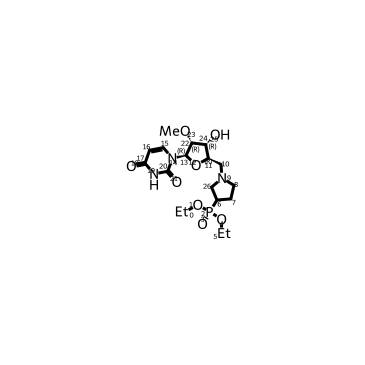 CCOP(=O)(OCC)C1CCN(C[C@H]2O[C@@H](n3ccc(=O)[nH]c3=O)[C@H](OC)[C@@H]2O)C1